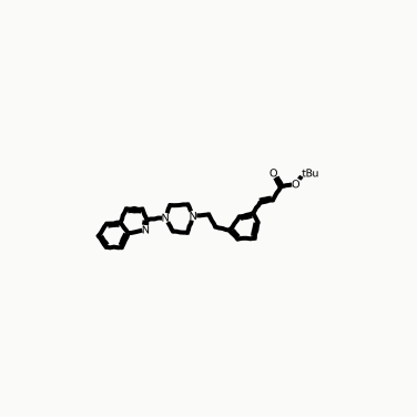 CC(C)(C)OC(=O)/C=C/c1cccc(CCN2CCN(c3ccc4ccccc4n3)CC2)c1